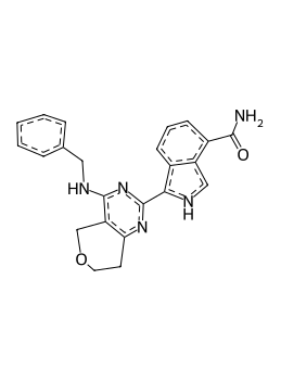 NC(=O)c1cccc2c(-c3nc4c(c(NCc5ccccc5)n3)COCC4)[nH]cc12